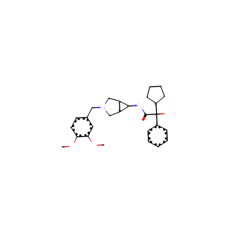 COc1ccc(CN2CC3C(C2)C3NC(=O)C(O)(c2ccccc2)C2CCCC2)cc1OC